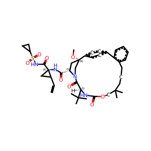 C=CC1C[C@]1(NC(=O)[C@@H]1C[C@]2(OC)CN1C(=O)[C@H](C(C)(C)C)NC(=O)OCC(C)(C)CCCc1ccccc1-c1ccc2cc1)C(=O)NS(=O)(=O)C1CC1